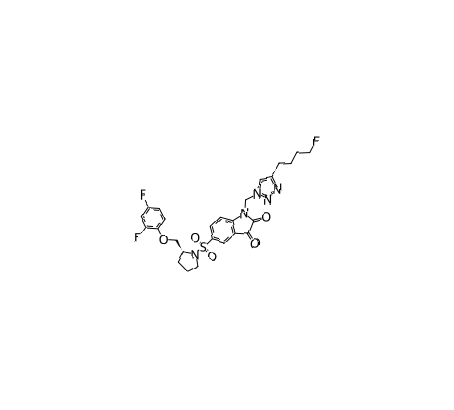 O=C1C(=O)N(Cn2cc(CCCCF)nn2)c2ccc(S(=O)(=O)N3CCC[C@H]3COc3ccc(F)cc3F)cc21